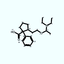 CCN(CC)C(C)OCCC1CCCC1(C(=O)O)c1ccccc1